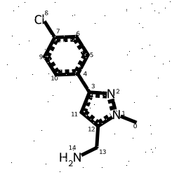 Cn1nc(-c2ccc(Cl)cc2)cc1CN